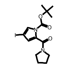 CC(C)(C)OC(=O)n1cc(I)cc1C(=O)N1CCCC1